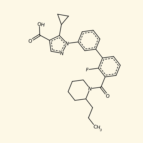 CCCC1CCCCN1C(=O)c1cccc(-c2cccc(-n3ncc(C(=O)O)c3C3CC3)c2)c1F